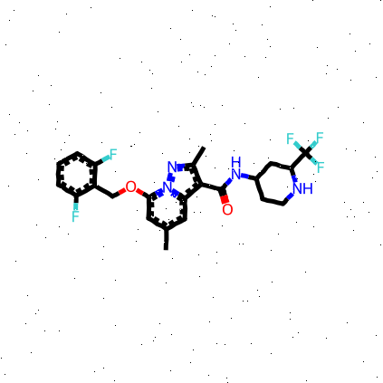 Cc1cc(OCc2c(F)cccc2F)n2nc(C)c(C(=O)NC3CCNC(C(F)(F)F)C3)c2c1